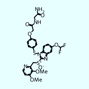 COc1ccnc(C[S+]([O-])c2nc3cc(OC(F)F)ccc3n2Sc2ccc(OCC(=O)NCC(N)=O)cc2)c1OC